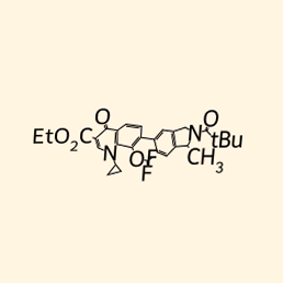 CCOC(=O)c1cn(C2CC2)c2c(OC(F)F)c(-c3ccc4c(c3)CN(C(=O)C(C)(C)C)C4C)ccc2c1=O